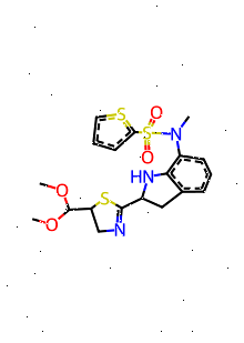 COC(OC)C1CN=C(C2Cc3cccc(N(C)S(=O)(=O)c4cccs4)c3N2)S1